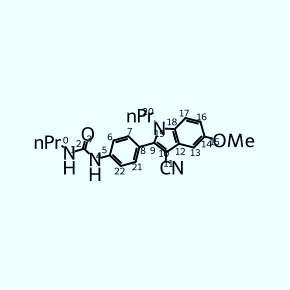 CCCNC(=O)Nc1ccc(-c2c(C#N)c3cc(OC)ccc3n2CCC)cc1